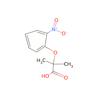 CC(C)(Oc1ccccc1[N+](=O)[O-])C(=O)O